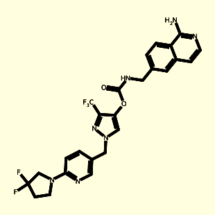 Nc1nccc2cc(CNC(=O)Oc3cn(Cc4ccc(N5CCC(F)(F)C5)nc4)nc3C(F)(F)F)ccc12